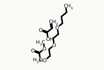 C=CC(=O)O.CCCCOCCOCCO.COC(C)=O